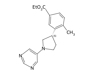 CCOC(=O)c1ccc(C)c([C@@H]2CCN(c3cncnc3)C2)c1